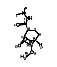 CN(C)NC(=O)[C@@H]1CC[C@H]2CC1C(=O)N2OP